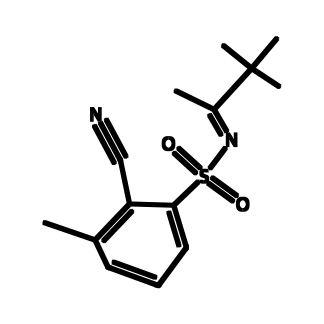 CC(=NS(=O)(=O)c1cccc(C)c1C#N)C(C)(C)C